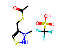 CC(=O)SCC1=CSNN1C.O=S(=O)(O)C(F)(F)F